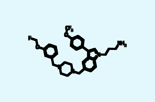 NCCCn1cc(-c2ccc(OC(F)(F)F)cc2)c2cc(CN3CCN(Cc4cccc(OCF)c4)CC3)ccc21